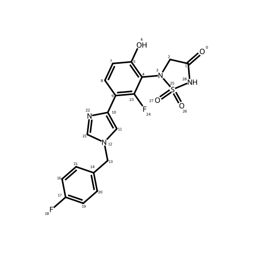 O=C1CN(c2c(O)ccc(-c3cn(Cc4ccc(F)cc4)cn3)c2F)S(=O)(=O)N1